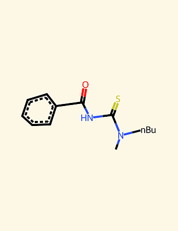 CCCCN(C)C(=S)NC(=O)c1ccccc1